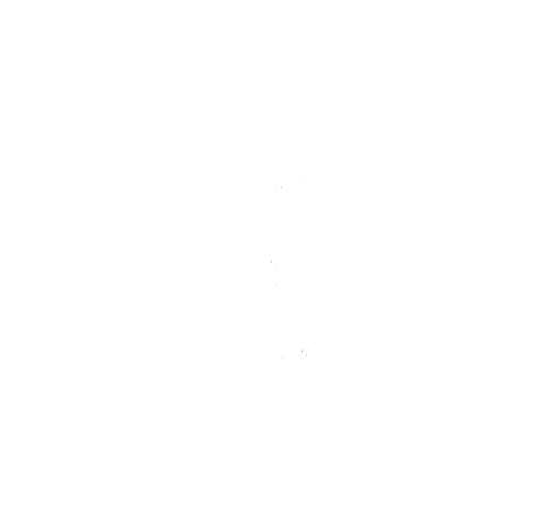 CC(=O)Oc1ccccc1C(=O)NC1CCN(CCCOc2ccccc2C#N)CC1